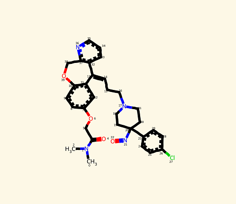 CN(C)C(=O)COc1ccc2c(c1)C(=CCCN1CCC(N=O)(c3ccc(Cl)cc3)CC1)c1cccnc1CO2